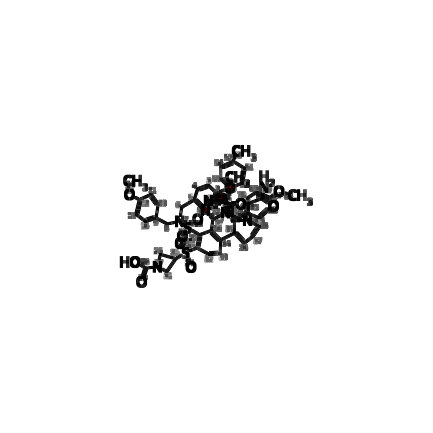 COc1ccc(CN(Cc2ccc(OC)cc2)S(=O)(=O)c2c(S(=O)(=O)C3CN(C(=O)O)C3)ccc(-c3cccn(CC(N)=O)c3=NS(=O)(=O)c3ccc(C)cc3)c2-c2nnnn2Cc2ccc(OC)cc2)cc1